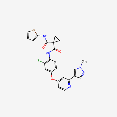 Cn1cc(-c2cc(Oc3ccc(NC(=O)C4(C(=O)Nc5cccs5)CC4)c(F)c3)ccn2)cn1